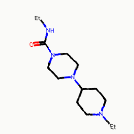 CCNC(=O)N1CCN(C2CCN(CC)CC2)CC1